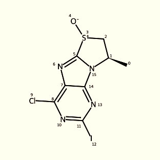 C[C@@H]1C[S+]([O-])c2nc3c(Cl)nc(I)nc3n21